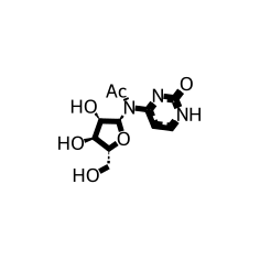 CC(=O)N(c1cc[nH]c(=O)n1)[C@@H]1O[C@H](CO)[C@@H](O)[C@@H]1O